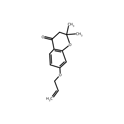 C=CCOc1ccc2c(c1)OC(C)(C)CC2=O